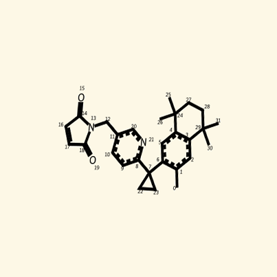 Cc1cc2c(cc1C1(c3ccc(CN4C(=O)C=CC4=O)cn3)CC1)C(C)(C)CCC2(C)C